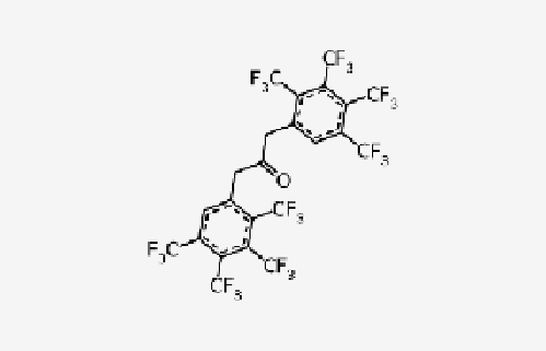 O=C(Cc1cc(C(F)(F)F)c(C(F)(F)F)c(C(F)(F)F)c1C(F)(F)F)Cc1cc(C(F)(F)F)c(C(F)(F)F)c(C(F)(F)F)c1C(F)(F)F